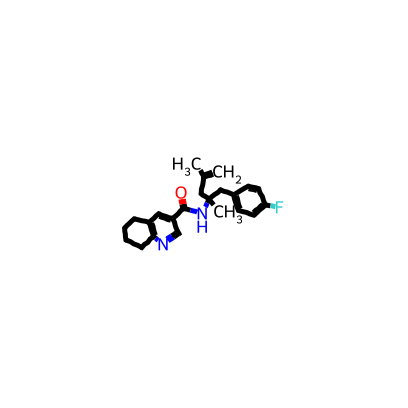 C=C(C)CC(C)(Cc1ccc(F)cc1)NC(=O)c1cnc2c(c1)CCCC2